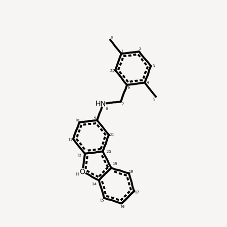 Cc1ccc(C)c(CNc2ccc3oc4ccccc4c3c2)c1